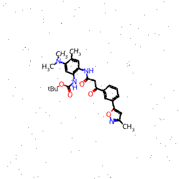 Cc1cc(-c2cccc(C(=O)CC(=O)Nc3cc(C)c(N(C)C)cc3NC(=O)OC(C)(C)C)c2)on1